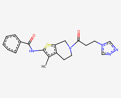 N#Cc1c(NC(=O)c2ccccc2)sc2c1CCN(C(=O)CCn1cnnc1)C2